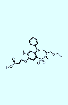 CCOCC1CN(c2ccccc2)c2cc(SC)c(O/C=C/C(=O)O)cc2S(=O)(=O)N1C